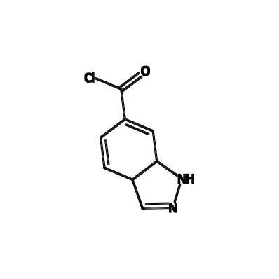 O=C(Cl)C1=CC2NN=CC2C=C1